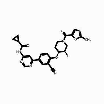 Cc1ncc(C(=O)N2CC[C@H](Oc3ccc(-c4cc(NC(=O)C5CC5)ncn4)cc3C#N)[C@H](F)C2)o1